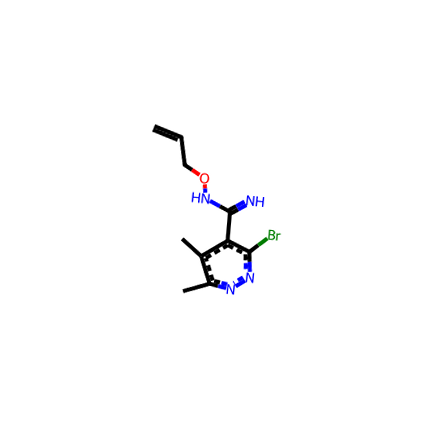 C=CCONC(=N)c1c(Br)nnc(C)c1C